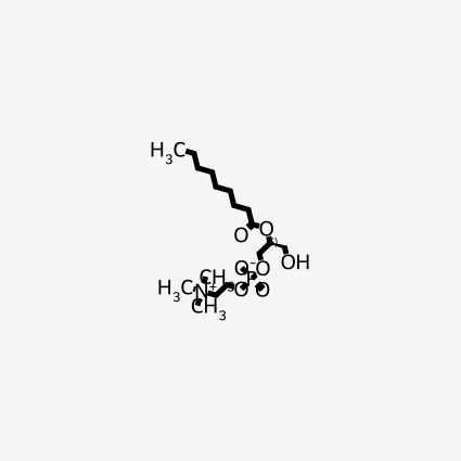 CCCCCCCCC(=O)O[C@@H](CO)COP(=O)([O-])OCC[N+](C)(C)C